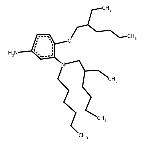 CCCCCCN(CC(CC)CCCC)c1cc(N)ccc1OCC(CC)CCCC